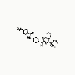 CN(C)c1nc(N[C@H]2CC[C@@H](NC(=O)c3ccc([N+](=O)[O-])cc3)CC2)nc2c1CCCC2